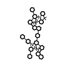 CC1(C)c2ccccc2N2c3cc(-c4ccccc4)cc4c3B(c3cccc1c32)n1c2c-4cccc2c2ccc3c(-c4ccc(-c5cc6c7c(c5)N(c5ccc(-c8ccccc8)cc5)c5ccc(-c8ccccc8)cc5B7n5c7ccc8ccccc8c7c7cccc-6c75)cc4)cccc3c21